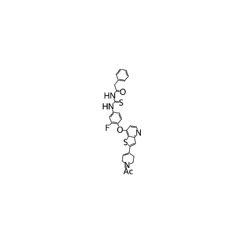 CC(=O)N1CC=C(c2cc3nccc(Oc4ccc(NC(=S)NC(=O)Cc5ccccc5)cc4F)c3s2)CC1